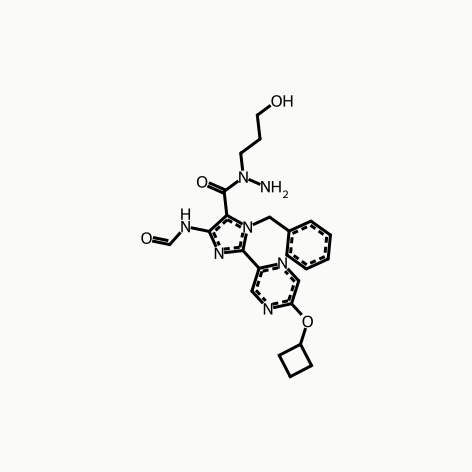 NN(CCCO)C(=O)c1c(NC=O)nc(-c2cnc(OC3CCC3)cn2)n1Cc1ccccc1